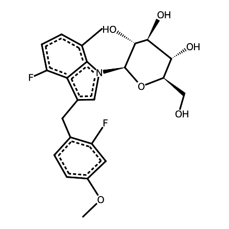 COc1ccc(Cc2cn([C@@H]3O[C@H](CO)[C@@H](O)[C@H](O)[C@H]3O)c3c(C)ccc(F)c23)c(F)c1